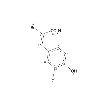 CC(C)(C)C(=Cc1ccc(O)c(O)c1)C(=O)O